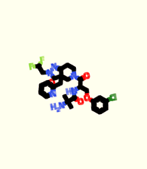 CC(C)(N)C(=O)NC(COc1cccc(Cl)c1)C(=O)N1CCC2=NN(CC(F)F)C(=O)C2(Cc2ccccn2)C1